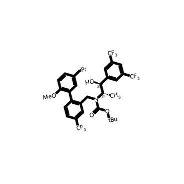 COc1ccc(C(C)C)cc1-c1ccc(C(F)(F)F)cc1CN(C(=O)OC(C)(C)C)[C@@H](C)[C@@H](O)c1cc(C(F)(F)F)cc(C(F)(F)F)c1